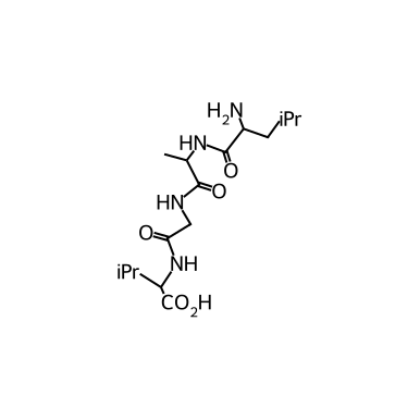 CC(C)CC(N)C(=O)NC(C)C(=O)NCC(=O)NC(C(=O)O)C(C)C